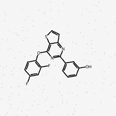 Oc1cccc(-c2nc(Oc3ccc(F)cc3F)c3sccc3n2)c1